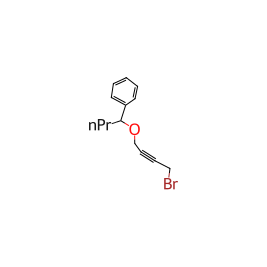 CCCC(OCC#CCBr)c1ccccc1